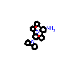 Nc1cc(-c2ccccc2)c(-n2c3ccccc3c3cc(-n4c5ccccc5c5ccccc54)ccc32)c(-c2ccccc2)c1